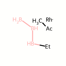 BBBCC.CC(C)=O.[Rh]